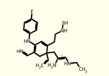 C=CC1(C/C(N)=C/NCC)CC(C=N)=C(Nc2ccc(F)cc2)C=C1CCNS